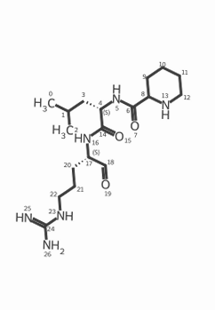 CC(C)C[C@H](NC(=O)C1CCCCN1)C(=O)N[C@H](C=O)CCCNC(=N)N